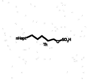 CCCCCCCCCCCCOS(=O)(=O)O.[Th]